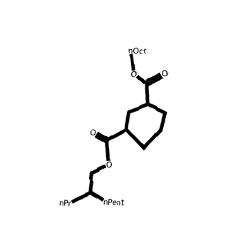 CCCCCCCCOC(=O)C1CCCC(C(=O)OCC(CCC)CCCCC)C1